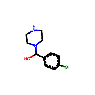 OC(c1ccc(Br)cc1)N1CCNCC1